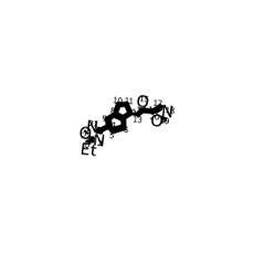 CCc1nc(-c2ccc3c(c2)CC[C@H]3CC(=O)c2cnco2)no1